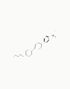 CCCCC[C@H]1CC[C@H]([C@H]2CC[C@H](c3ccc(OC(F)(F)F)cc3)CC2)CC1